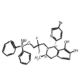 C[C@@H]1Cc2ccc(O)c(O)c2[C@@H](c2ccc(Br)cn2)N1CC(F)(F)CO[Si](c1ccccc1)(c1ccccc1)C(C)(C)C